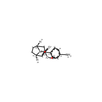 CC(C)(C)OC(=O)N1[C@@H]2CC[C@H]1C=C(c1ccc(N)cc1)C2